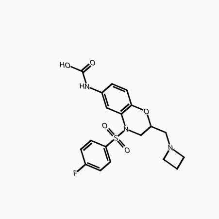 O=C(O)Nc1ccc2c(c1)N(S(=O)(=O)c1ccc(F)cc1)CC(CN1CCC1)O2